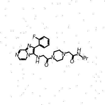 CC(C)NC(=O)CN1CCN(C(=O)CNc2c(-c3ccccc3F)nc3cnccn23)CC1